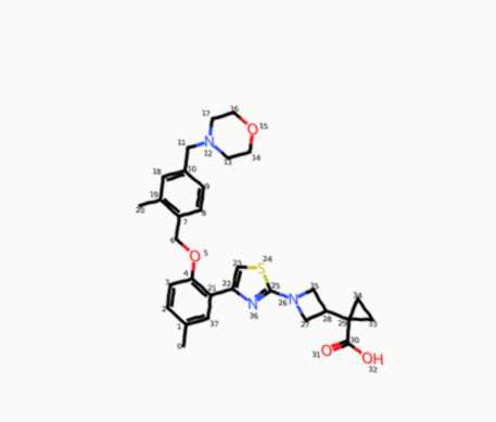 Cc1ccc(OCc2ccc(CN3CCOCC3)cc2C)c(-c2csc(N3CC(C4(C(=O)O)CC4)C3)n2)c1